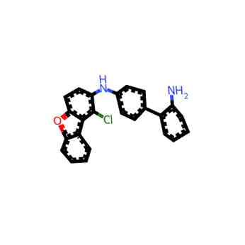 Nc1ccccc1-c1ccc(Nc2ccc3oc4ccccc4c3c2Cl)cc1